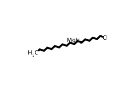 CCCCCCCCCCCCCCCCCCCl.[MgH2]